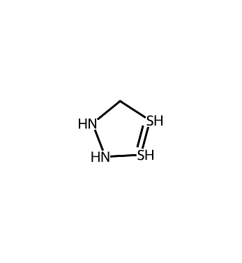 C1NN[SH]=[SH]1